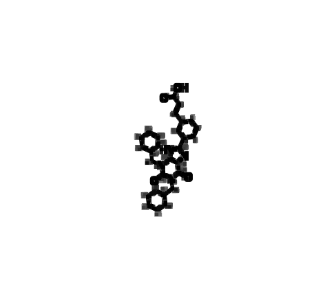 O=C(O)/C=C/c1cccc(-c2nc3c(=O)n(Cc4ccccc4)c(=O)n(Cc4ccccc4)c3[nH]2)c1